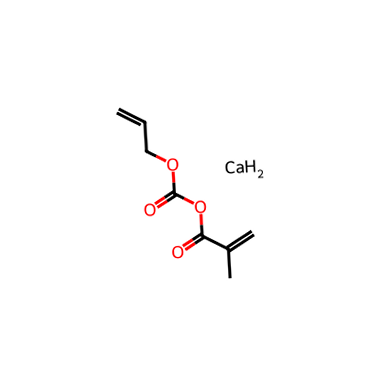 C=CCOC(=O)OC(=O)C(=C)C.[CaH2]